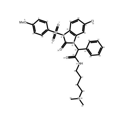 COc1ccc(S(=O)(=O)n2c(=O)n(C(C(=O)NCCCCN(C)C)c3ccccc3)c3cc(Cl)ccc32)cc1